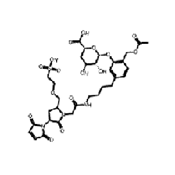 CC(=O)OCc1ccc(CCCCNC(=O)CN2C(=O)[C@@H](N3C(=O)C=CC3=O)C[C@H]2COCCS(=O)(=O)O)cc1O[C@@H]1O[C@H](C(=O)O)C[C@H](O)[C@H]1O